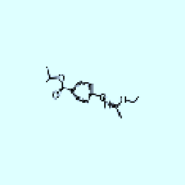 CCOC(C)=NOc1ccc(C(=O)OC(C)C)cc1